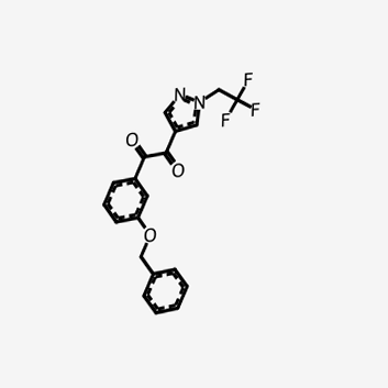 O=C(C(=O)c1cnn(CC(F)(F)F)c1)c1cccc(OCc2ccccc2)c1